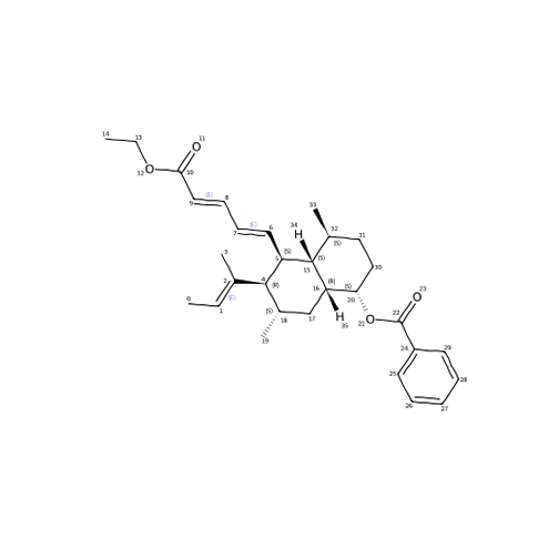 C/C=C(\C)[C@H]1[C@@H](/C=C/C=C/C(=O)OCC)[C@H]2[C@@H](C[C@@H]1C)[C@@H](OC(=O)c1ccccc1)CC[C@@H]2C